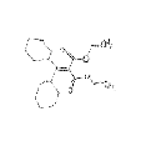 CCOC(=O)C(C(=O)OCC)=C(C1CCCCC1)C1CCCCC1